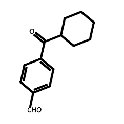 O=Cc1ccc(C(=O)C2CCCCC2)cc1